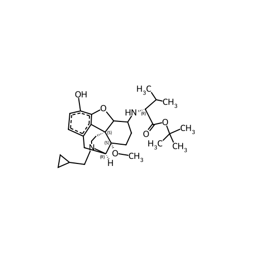 CO[C@@]12CCC(N[C@@H](C(=O)OC(C)(C)C)C(C)C)C3Oc4c(O)ccc5c4[C@@]31CCN(CC1CC1)[C@@H]2C5